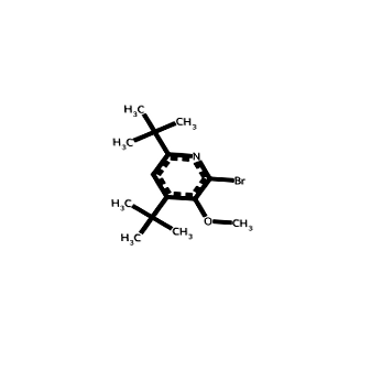 COc1c(C(C)(C)C)cc(C(C)(C)C)nc1Br